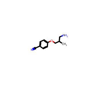 CC(CN)COc1ccc(C#N)cc1